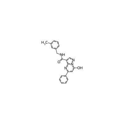 Cc1cccc(CNC(=O)c2cnn3c(O)cc(-c4ccccc4)nc23)c1